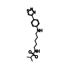 CC(C)S(=O)(=O)NCCCCCNc1ccc(-c2csnn2)cc1